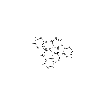 O=P(c1ccccc1)(c1ccccc1)C1C=C(c2ccccc2)Oc2ccccc21